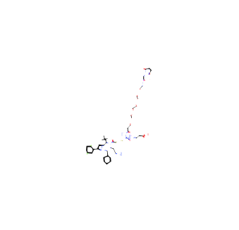 CC(C)(C)[C@H](c1cc(-c2cc(F)ccc2F)cn1Cc1ccccc1)N(CCCN)C(=O)CSC[C@H](NC(=O)CCOCCOCCOCCOCCNC(=O)CN1C(=O)C=CC1=O)C(=O)NCCC(=O)O